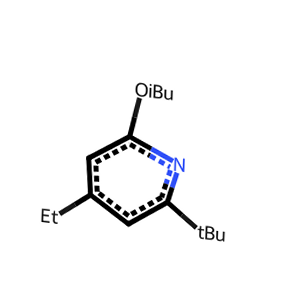 CCc1cc(OCC(C)C)nc(C(C)(C)C)c1